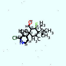 Cc1c(C2(C)CC(C)C([Si](C)(C)C)C(F)C2C=O)ccnc1Cl